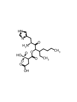 CCCCC(CC)C(OC(=O)C(CC(=O)O)S(=O)(=O)O)C(=O)[C@@H](N)Cc1c[nH]cn1